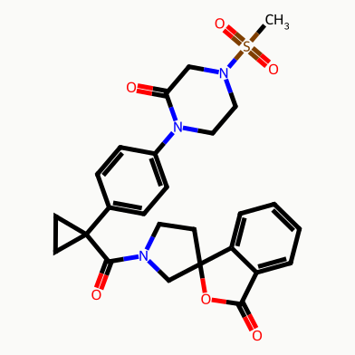 CS(=O)(=O)N1CCN(c2ccc(C3(C(=O)N4CCC5(C4)OC(=O)c4ccccc45)CC3)cc2)C(=O)C1